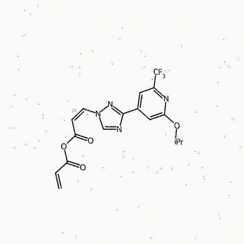 C=CC(=O)OC(=O)/C=C\n1cnc(-c2cc(OC(C)C)nc(C(F)(F)F)c2)n1